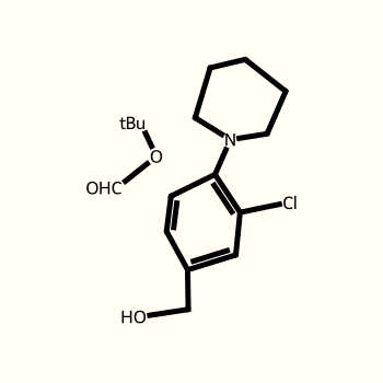 CC(C)(C)OC=O.OCc1ccc(N2CCCCC2)c(Cl)c1